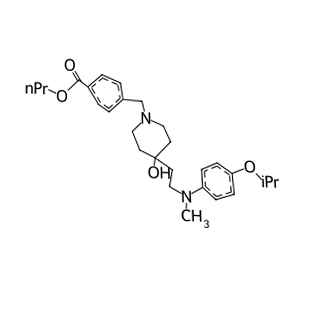 CCCOC(=O)c1ccc(CN2CCC(O)(CCN(C)c3ccc(OC(C)C)cc3)CC2)cc1